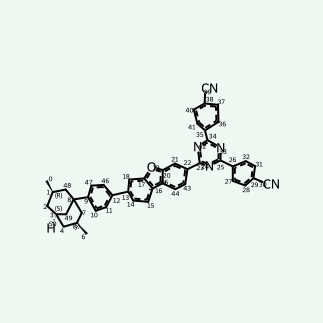 C[C@@H]1C[C@@H]2C[C@H](C)CC(c3ccc(-c4ccc5c(c4)oc4cc(-c6nc(-c7ccc(C#N)cc7)nc(-c7ccc(C#N)cc7)n6)ccc45)cc3)(C1)C2